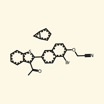 CC(=O)c1c(-c2ccc3c(Br)c(OCC#N)ccc3c2)sc2ccccc12.c1cc2cc-2c1